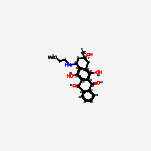 COCCNC1CC(O)(C(C)=O)Cc2c(O)c3c(c(O)c21)C(=O)c1ccccc1C3=O